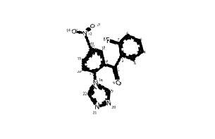 O=C(c1ccccc1F)c1cc([N+](=O)[O-])ccc1-n1cnnc1